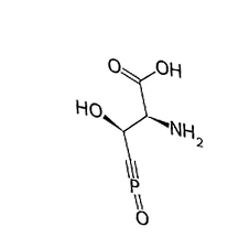 N[C@H](C(=O)O)[C@H](O)C#P=O